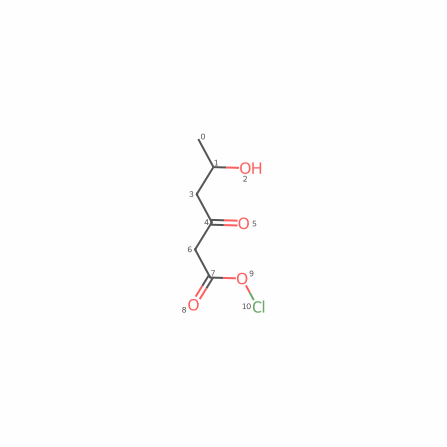 CC(O)CC(=O)CC(=O)OCl